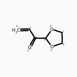 C=CC(=O)C1OCCO1